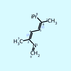 C=N/C(C)=C\C=C(\C)C(C)C